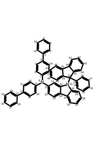 c1ccc(-c2ccc(N(c3ccc(-c4ccccc4)cc3)c3ccc4c5ccccc5n(C5(c6ccccc6)c6ccccc6-c6ccccc65)c4c3)cc2)cc1